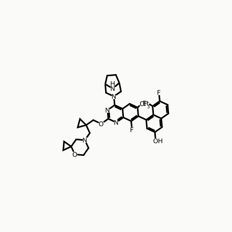 CCc1c(F)ccc2cc(O)cc(-c3c(C(F)(F)F)cc4c(N5CC6CCC(C5)N6)nc(OCC5(CN6CCOC7(CC7)C6)CC5)nc4c3F)c12